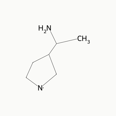 CC(N)C1CC[N]C1